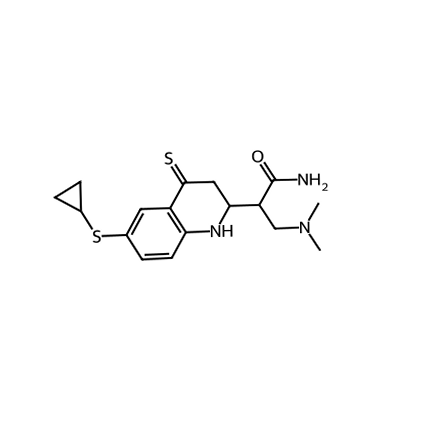 CN(C)CC(C(N)=O)C1CC(=S)c2cc(SC3CC3)ccc2N1